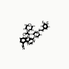 N#Cc1cccc2c1c1ncnc(N3CCN(CCc4ccc(F)c(F)c4)CC3)c1n2CC(=O)N1CCOCC1